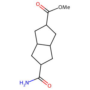 COC(=O)C1CC2CC(C(N)=O)CC2C1